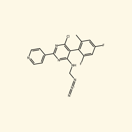 Cc1cc(F)cc(F)c1-c1c(Cl)nc(-c2ccncc2)nc1NCN=[N+]=[N-]